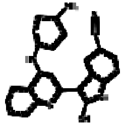 N#Cc1ccc2[nH]c(O)c(-c3cc(Nc4ccc(N)cc4)c4ccccc4n3)c2c1